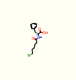 CN(C(=O)CCCCCBr)[C@@H](Cc1ccccc1)C(=O)O